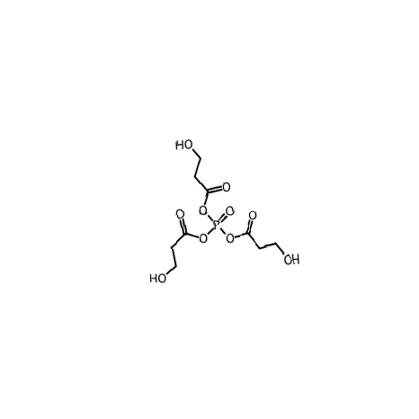 O=C(CCO)OP(=O)(OC(=O)CCO)OC(=O)CCO